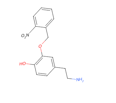 NCCc1ccc(O)c(OCc2ccccc2[N+](=O)[O-])c1